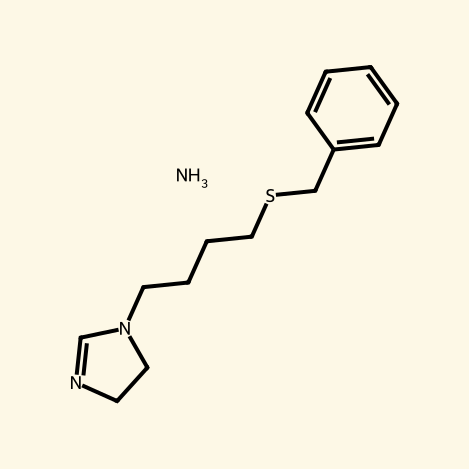 C1=NCCN1CCCCSCc1ccccc1.N